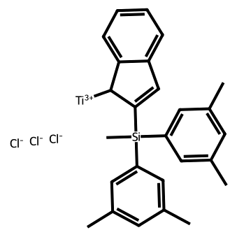 Cc1cc(C)cc([Si](C)(C2=Cc3ccccc3[CH]2[Ti+3])c2cc(C)cc(C)c2)c1.[Cl-].[Cl-].[Cl-]